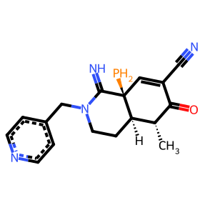 C[C@H]1C(=O)C(C#N)=C[C@@]2(P)C(=N)N(Cc3ccncc3)CC[C@H]12